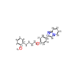 COc1ccccc1CCCCOc1ccc(-c2cn3ccccc3n2)cc1